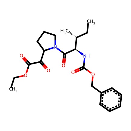 CCOC(=O)C(=O)C1CCCN1C(=O)[C@H](NC(=O)OCc1ccccc1)[C@H](C)CC